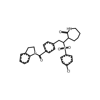 O=C1NCCCCC1C(Cc1ccc(C(=O)N2CCc3ccccc32)cc1)S(=O)(=O)c1ccc(Cl)cc1